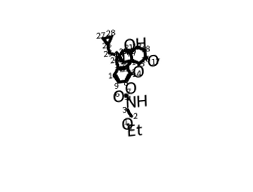 CCOCCNC(=O)Oc1ccc2c3c1OC1C(=O)CC[C@@]4(O)C(C2)N(CC2CC2)CCC314